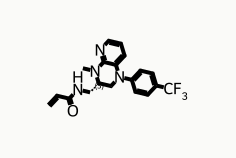 C=CC(=O)NC[C@H]1CN(c2ccc(C(F)(F)F)cc2)c2cccnc2N1C